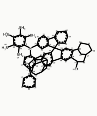 Bc1c(B)c(B)c(N(c2ccc(-c3ccccc3)cc2)c2ccc3c(c2)C2(c4ccccc4-3)c3cc4c(cc3-c3cc5c(cc32)C2CC3CC(CC5C3)C2)C(CC)CC2CCCC4C2)c(B)c1B